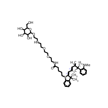 C=C(/C=C/C=C1/N(CCCCC(=O)NCCOCCOCCNCCOC2OC(CO)C(O)C(O)C2O)c2ccccc2C1(C)C)C(C)(C)c1ccccc1NC